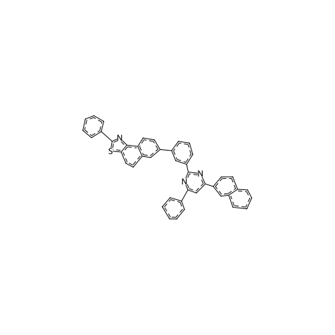 c1ccc(-c2cc(-c3ccc4ccccc4c3)nc(-c3cccc(-c4ccc5c(ccc6sc(-c7ccccc7)nc65)c4)c3)n2)cc1